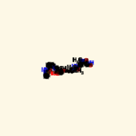 Cc1c(OCCCC2CCN(C(C)(C)C(=O)Nc3ccc4c(C5CCC(=O)NC5=O)nn(C)c4c3)CC2)cccc1-c1ccc(N2CCc3cccc(C(=O)Nc4nc5ccccc5s4)c3C2)nc1C(=O)O